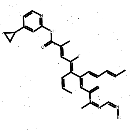 C=C(/C=C(\C=C\C=C\C)C(/C=C\C)=C(F)/C=C(\C)C(=O)Nc1cc(C2CC2)ccn1)/C(C)=N\C=N/CC